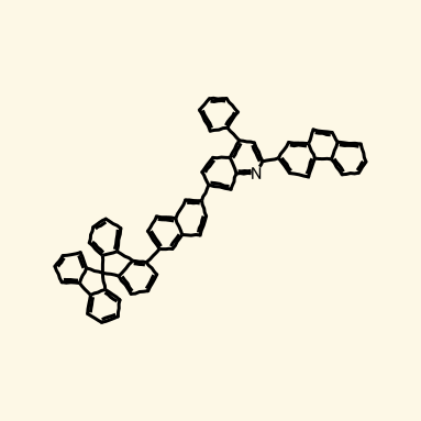 c1ccc(-c2cc(-c3ccc4c(ccc5ccccc54)c3)nc3cc(-c4ccc5cc(-c6cccc7c6-c6ccccc6C76c7ccccc7-c7ccccc76)ccc5c4)ccc23)cc1